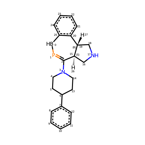 B1P=C(N2CCC(c3ccccc3)CC2)[C@@H]2CNC[C@H]2c2ccccc21